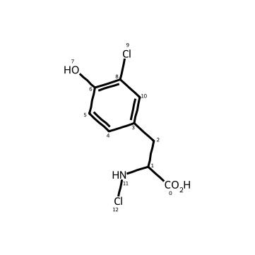 O=C(O)C(Cc1ccc(O)c(Cl)c1)NCl